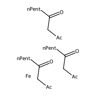 CCCCCC(=O)CC(C)=O.CCCCCC(=O)CC(C)=O.CCCCCC(=O)CC(C)=O.[Fe]